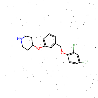 Fc1cc(Cl)ccc1OCc1cccc(OC2CCNCC2)c1